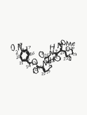 CON=C(C(=O)NC1C(=O)N2C(C(=O)OCc3ccc([N+](=O)[O-])cc3)=CCS[C@@H]12)C1=CSCCO1